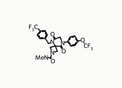 CNC(=O)N1CC2(C1)C(=O)N(c1ccc(OC(F)(F)F)cc1)CC(=O)N2Cc1ccc(C(F)(F)F)cc1